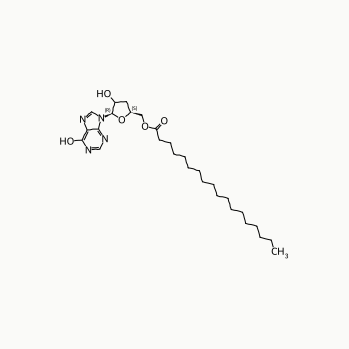 CCCCCCCCCCCCCCCCCC(=O)OC[C@@H]1CC(O)[C@H](n2cnc3c(O)ncnc32)O1